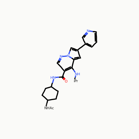 CC(=O)NC1CCC(NC(=O)c2cnn3cc(-c4cccnc4)cc3c2NC(C)C)CC1